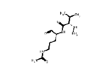 CC(C)[C@H](NN)C(=O)N[C@H](C=O)CCCNC(N)=O